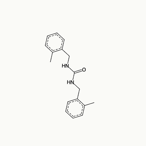 Cc1ccccc1CNC(=O)NCc1ccccc1C